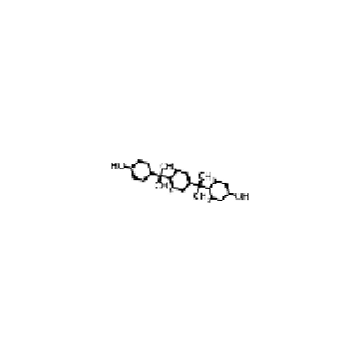 CC(C)(C1CCC(O)CC1)C1CCC(C(C)(C)C2CCC(O)CC2)CC1